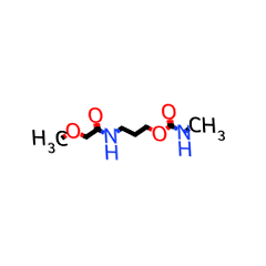 CNC(=O)OCCCNC(=O)COC